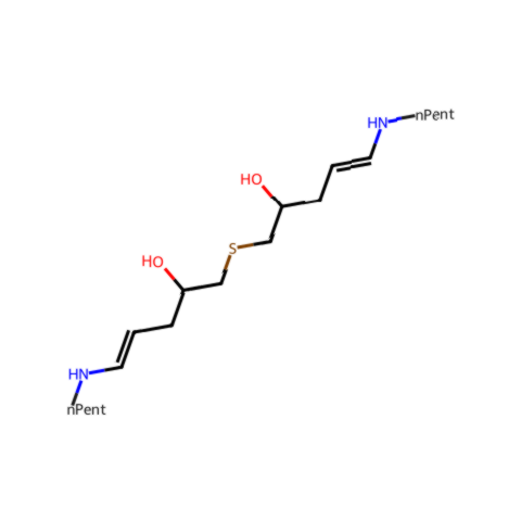 CCCCCNC=CCC(O)CSCC(O)CC=CNCCCCC